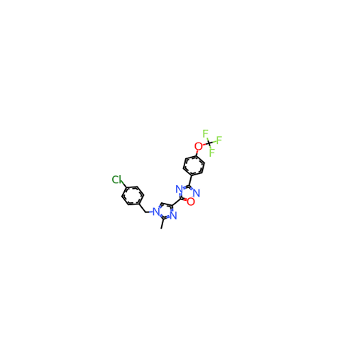 Cc1nc(-c2nc(-c3ccc(OC(F)(F)F)cc3)no2)cn1Cc1ccc(Cl)cc1